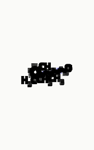 CC1=C(/C=C/C(C)=C/C=C/C=O)C(C)(C)CCC1